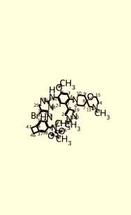 COc1cc(N2CCC3(CC2)CN(C)CCO3)c(-c2cnn(C)c2)cc1Nc1ncc(Br)c(Nc2cc3c(cc2N(C)S(C)(=O)=O)CC3)n1